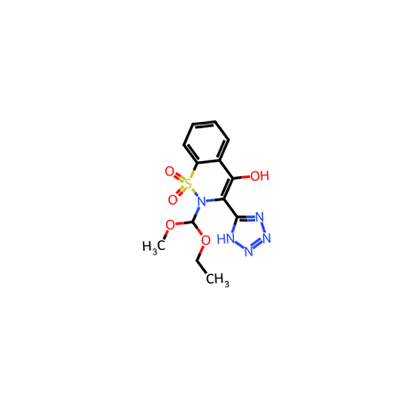 CCOC(OC)N1C(c2nnn[nH]2)=C(O)c2ccccc2S1(=O)=O